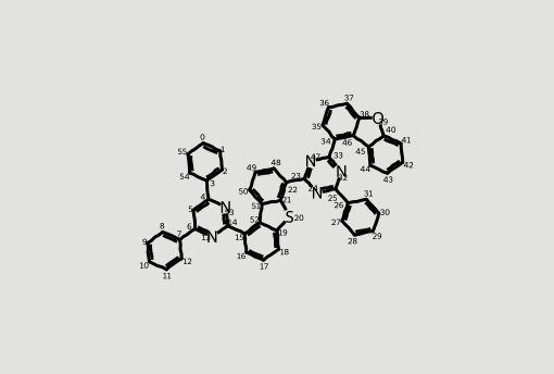 c1ccc(-c2cc(-c3ccccc3)nc(-c3cccc4sc5c(-c6nc(-c7ccccc7)nc(-c7cccc8oc9ccccc9c78)n6)cccc5c34)n2)cc1